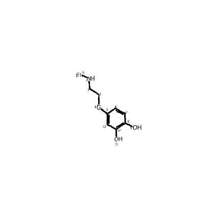 CCNCCOc1ccc(O)c(O)c1